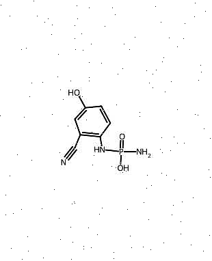 N#Cc1cc(O)ccc1NP(N)(=O)O